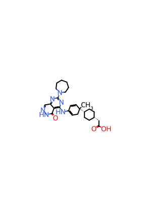 CC1([C@H]2CC[C@@H](CC(=O)O)CC2)C=CC(Nc2nc(N3CCCCCC3)nc3cn[nH]c(=O)c23)=CC1